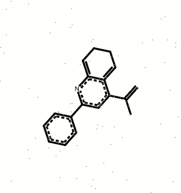 C=C(C)c1cc(-c2ccccc2)nc2c1=CCCC=2